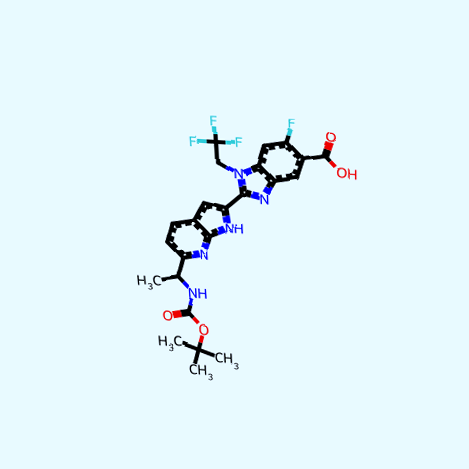 CC(NC(=O)OC(C)(C)C)c1ccc2cc(-c3nc4cc(C(=O)O)c(F)cc4n3CC(F)(F)F)[nH]c2n1